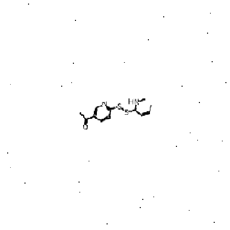 C/C=C\C(NC)SSc1ccc(C(C)=O)cn1